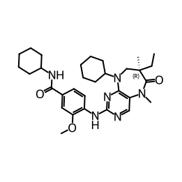 CC[C@]1(C)CN(C2CCCCC2)c2nc(Nc3ccc(C(=O)NC4CCCCC4)cc3OC)ncc2N(C)C1=O